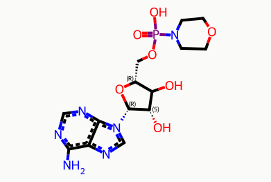 Nc1ncnc2c1ncn2[C@@H]1O[C@H](COP(=O)(O)N2CCOCC2)C(O)[C@@H]1O